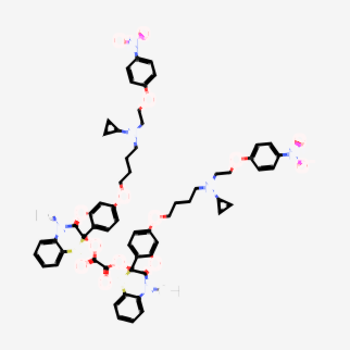 CN1C(=O)C(OC(=O)C(=O)OC2(c3ccc(OCCCCN(CCOc4ccc([N+](=O)[O-])cc4)C4CC4)cc3)Sc3ccccc3N(C)C2=O)(c2ccc(OCCCCN(CCOc3ccc([N+](=O)[O-])cc3)C3CC3)cc2)Sc2ccccc21